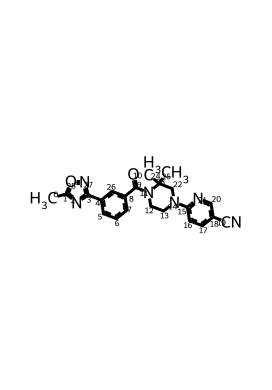 Cc1nc(-c2cccc(C(=O)N3CCN(c4ccc(C#N)cn4)CC3(C)C)c2)no1